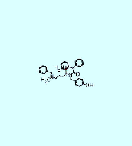 CN(CCC[C@H](C(N)=O)N(Cc1ccc(O)cc1)C(=O)C(c1ccccc1)c1ccccc1)Cc1ccccc1